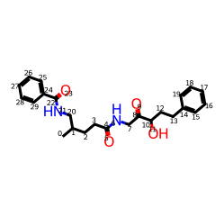 CC(CCC(=O)NCC(=O)C(O)CCc1ccccc1)CNC(=O)c1ccccc1